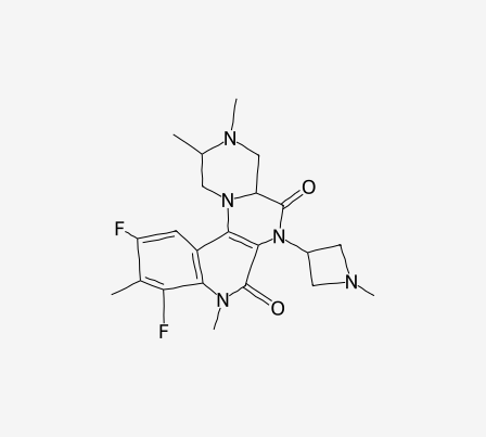 Cc1c(F)cc2c3c(c(=O)n(C)c2c1F)N(C1CN(C)C1)C(=O)C1CN(C)C(C)CN31